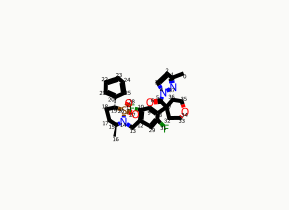 Cc1ccn(C(=O)C2(c3cc(F)c(CN4[C@@H](C)CC[C@H](c5ccccc5)S4(=O)=O)cc3F)CCOCC2)n1